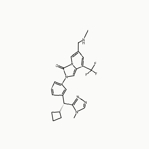 CNCc1cc(C(F)(F)F)c2cn(-c3cccc([C@H](c4nncn4C)C4CCC4)c3)c(=O)n2c1